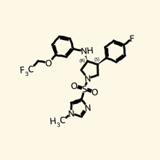 Cn1cnc(S(=O)(=O)N2C[C@H](Nc3cccc(OCC(F)(F)F)c3)[C@@H](c3ccc(F)cc3)C2)c1